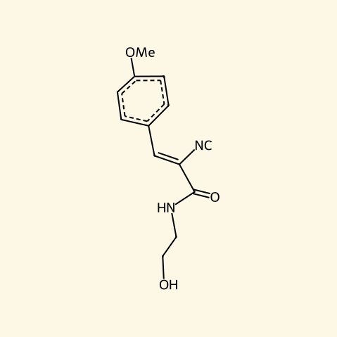 [C-]#[N+]/C(=C\c1ccc(OC)cc1)C(=O)NCCO